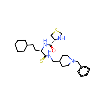 O=C(N[C@H](CCC1CCCCC1)C(=S)NCC1CCN(Cc2ccccc2)CC1)[C@@H]1CSCN1